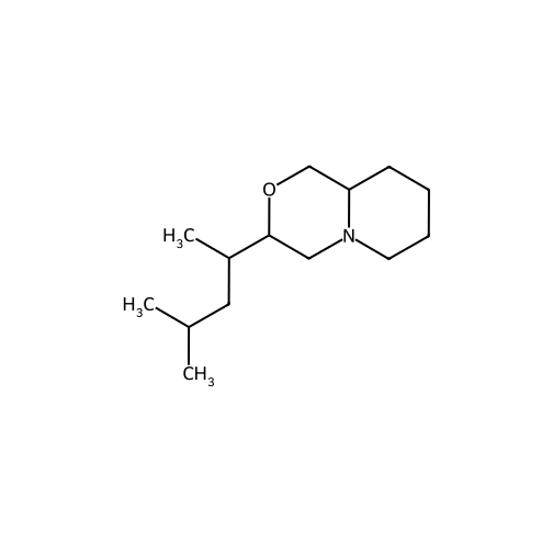 CC(C)CC(C)C1CN2CCCCC2CO1